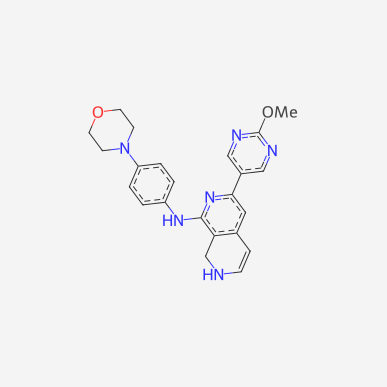 COc1ncc(-c2cc3c(c(Nc4ccc(N5CCOCC5)cc4)n2)CNC=C3)cn1